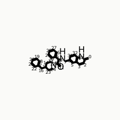 C=C1C=Cc2cc(CN[C@@H](C(=O)N3CCC(Cc4ccccc4)CC3)c3ccccc3)ccc2N1